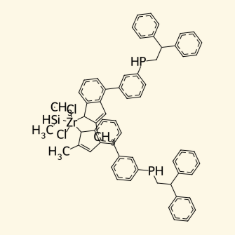 CC1=Cc2c(-c3cccc(PCC(c4ccccc4)c4ccccc4)c3)cccc2[CH]1[Zr]([Cl])([Cl])([CH]1C(C)=Cc2c(-c3cccc(PCC(c4ccccc4)c4ccccc4)c3)cccc21)[SiH](C)C